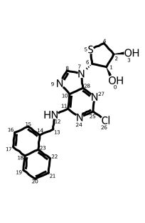 O[C@@H]1[C@H](O)CS[C@H]1n1cnc2c(NCc3cccc4ccccc34)nc(Cl)nc21